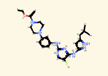 C=C(OCC)N1CCN(c2cccc(Nc3ncc(F)c(Nc4cc(CC(C)C)[nH]n4)n3)c2)CC1